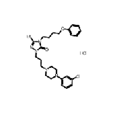 CCc1nn(CCCN2CCN(c3cccc(Cl)c3)CC2)c(=O)n1CCCCOc1ccccc1.Cl